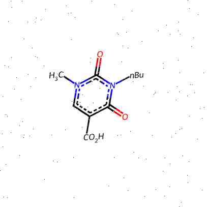 CCCCn1c(=O)c(C(=O)O)cn(C)c1=O